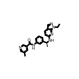 CCn1ncc2ccc(N[C@@H](C)c3cccc(NC(=O)c4cncc(C)c4)c3)nc21